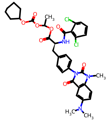 CC(OC(=O)OC1CCCCC1)OC(=O)[C@H](Cc1ccc(-n2c(=O)c3cc(N(C)C)ccc3n(C)c2=O)cc1)NC(=O)c1c(Cl)cccc1Cl